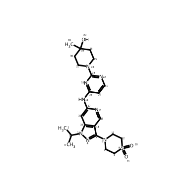 CC(C)n1nc(N2CCS(=O)(=O)CC2)c2cnc(Nc3ccnc(N4CCC(C)(O)CC4)n3)cc21